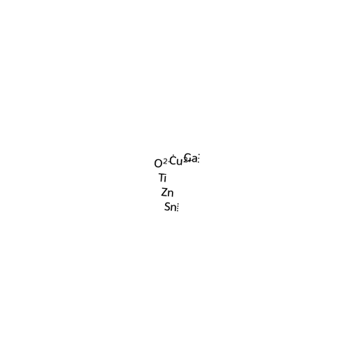 [Cu+2].[Ga].[O-2].[Sn].[Ti].[Zn]